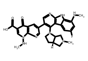 CNc1cc(F)cc2c1[nH]c1ncc(-c3cnc4c(c3)c(=O)c(C(=O)O)cn4NC)c(N3CC[C@H]4CN(C)CC43)c12